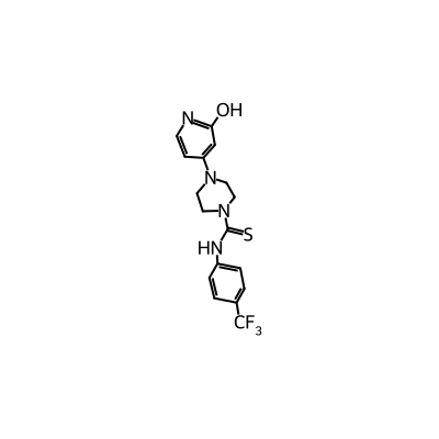 Oc1cc(N2CCN(C(=S)Nc3ccc(C(F)(F)F)cc3)CC2)ccn1